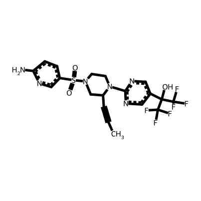 CC#CC1CN(S(=O)(=O)c2ccc(N)nc2)CCN1c1ncc(C(O)(C(F)(F)F)C(F)(F)F)cn1